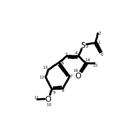 C=C(C)S/C(=C/C1=CC=C(OC)CC1)C(C)=O